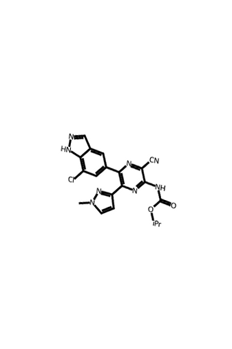 CC(C)OC(=O)Nc1nc(-c2ccn(C)n2)c(-c2cc(Cl)c3[nH]ncc3c2)nc1C#N